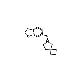 c1cc2c(cc1SN1CCC3(CCC3)C1)SCC2